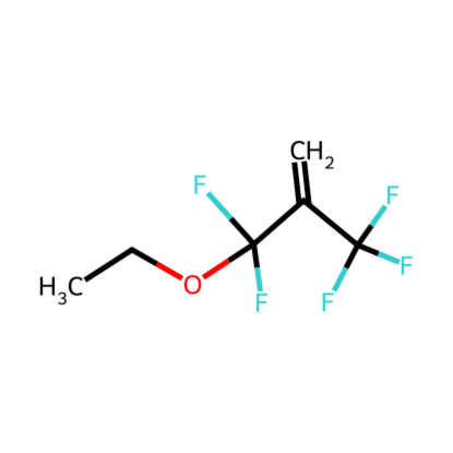 C=C(C(F)(F)F)C(F)(F)OCC